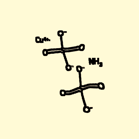 N.O=S(=O)([O-])[O-].O=S(=O)([O-])[O-].[Cu+4]